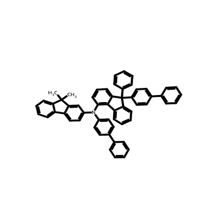 CC1(C)c2ccccc2-c2ccc(N(c3ccc(-c4ccccc4)cc3)c3cccc4c3-c3ccccc3C4(c3ccccc3)c3ccc(-c4ccccc4)cc3)cc21